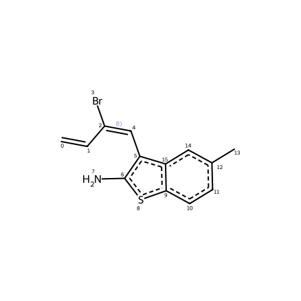 C=C/C(Br)=C\c1c(N)sc2ccc(C)cc12